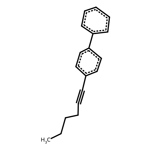 CCCCC#Cc1ccc(-c2ccccc2)cc1